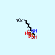 CCCCCCCCCCCCCC(=O)NC(C)P(=O)(O)O